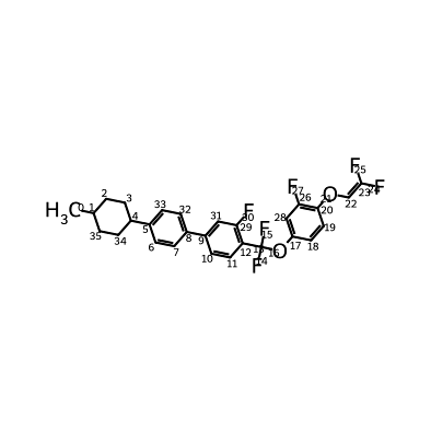 CC1CCC(c2ccc(-c3ccc(C(F)(F)Oc4ccc(OC=C(F)F)c(F)c4)c(F)c3)cc2)CC1